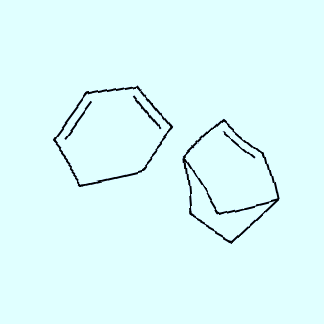 C1=CC2CCC1C2.C1=CCCC=C1